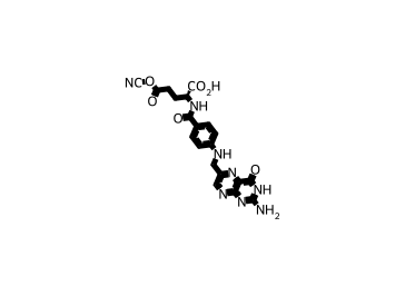 N#COC(=O)CC[C@H](NC(=O)c1ccc(NCc2cnc3nc(N)[nH]c(=O)c3n2)cc1)C(=O)O